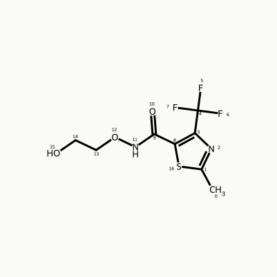 Cc1nc(C(F)(F)F)c(C(=O)NOCCO)s1